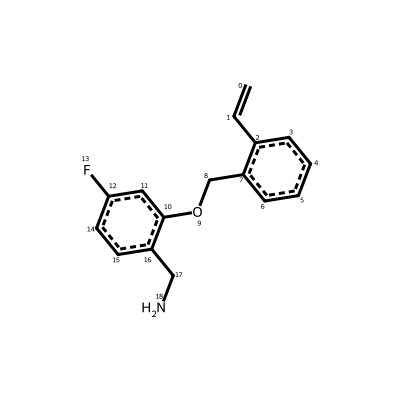 C=Cc1ccccc1COc1cc(F)ccc1CN